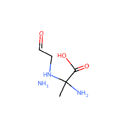 CC(N)(NCC=O)C(=O)O.N